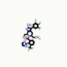 CCC1Cc2c(nn(C)c2-c2cc(F)c(F)c(F)c2)C(CC)N1C(=O)c1cccc(C(F)(F)F)c1-n1nccn1